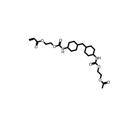 C=CC(=O)OCCOC(=O)NC1CCC(CC2CCC(NC(=O)OCCOC(C)=O)CC2)CC1